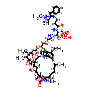 CNN(C)Cc1cc2ccccc2n1CCC(=O)N[C@@H](CS(=O)(=O)O)C(=O)NCCOCCOCCC(=O)N(C)[C@@H](C)C(=O)O[C@H]1CC(=O)N(C)c2cc(cc(OC)c2Cl)C/C(C)=C/C=C/[C@@H](OC)[C@@]2(O)C[C@H](OC(=O)N2)C2(C)C[C@@]1(C)O2